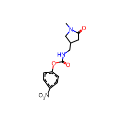 CN1CC(CNC(=O)Oc2ccc([N+](=O)[O-])cc2)CC1=O